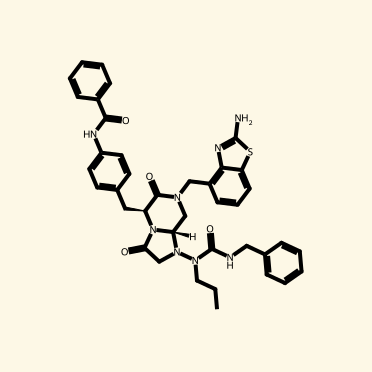 CCCN(C(=O)NCc1ccccc1)N1CC(=O)N2[C@@H](Cc3ccc(NC(=O)c4ccccc4)cc3)C(=O)N(Cc3cccc4sc(N)nc34)C[C@@H]21